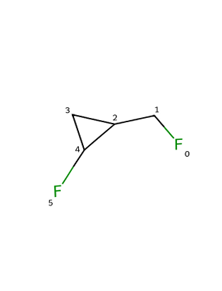 FCC1CC1F